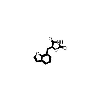 O=C1NC(=O)C(Cc2cccc3ccoc23)S1